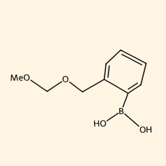 COCOCc1ccccc1B(O)O